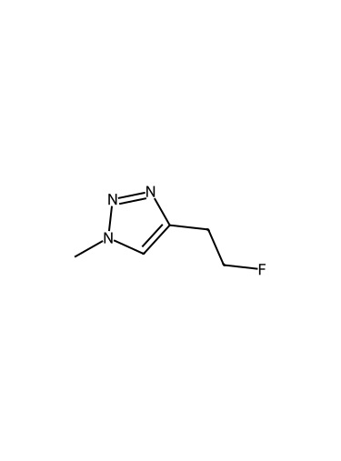 Cn1cc(CCF)nn1